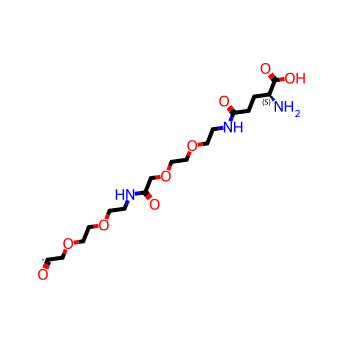 N[C@@H](CCC(=O)NCCOCCOCC(=O)NCCOCCOC[C]=O)C(=O)O